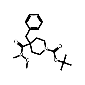 CON(C)C(=O)C1(Cc2ccccc2)CCN(C(=O)OC(C)(C)C)CC1